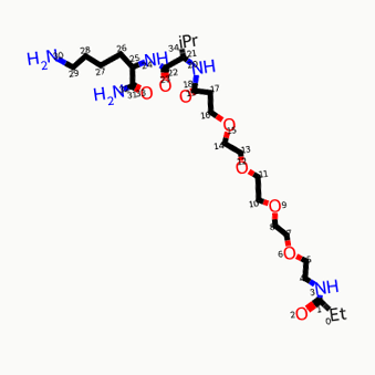 CCC(=O)NCCOCCOCCOCCOCCC(=O)NC(C(=O)NC(CCCCN)C(N)=O)C(C)C